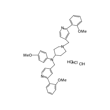 COc1ccc(N(Cc2ccnc(-c3ccccc3OC)c2)C2CCN(Cc3ccnc(-c4ccccc4OC)c3)CC2)cc1.Cl.Cl.Cl